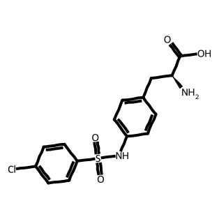 N[C@@H](Cc1ccc(NS(=O)(=O)c2ccc(Cl)cc2)cc1)C(=O)O